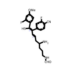 COc1ccc(/C(S)=C(/C=C/CC(N)CCCNC=O)c2ccc(C#N)c(F)c2)c(F)c1